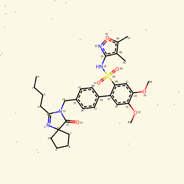 CCCCC1=NC2(CCCC2)C(=O)N1Cc1ccc(-c2cc(OC)c(OC)cc2S(=O)(=O)Nc2noc(C)c2C)cc1